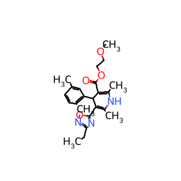 CCc1noc(C2=C(C)NC(C)=C(C(=O)OCCOC)C2c2cc(C)ccc2C)n1